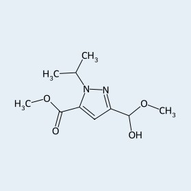 COC(=O)c1cc(C(O)OC)nn1C(C)C